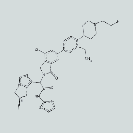 CCc1cc(-c2cc(Cl)c3c(c2)C(=O)N(C(C(=O)Nc2nccs2)c2ncn4c2C[C@@H](F)C4)C3)ccc1C1CCN(CCF)CC1